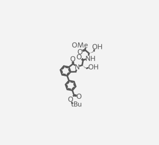 COC(=O)[C@H](CO)NC(=O)[C@H](CO)N1Cc2c(cccc2-c2ccc(C(=O)OC(C)(C)C)cc2)C1=O